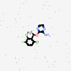 CC(Oc1nccnc1N)c1c(Cl)ccc(F)c1Cl